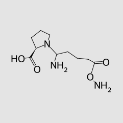 NOC(=O)CCCC(N)N1CCC[C@@H]1C(=O)O